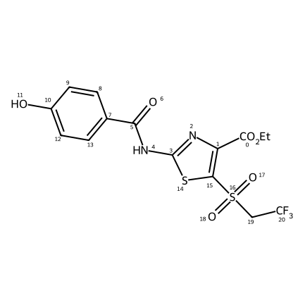 CCOC(=O)c1nc(NC(=O)c2ccc(O)cc2)sc1S(=O)(=O)CC(F)(F)F